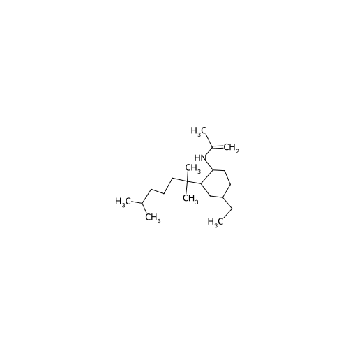 C=C(C)NC1CCC(CC)CC1C(C)(C)CCCC(C)C